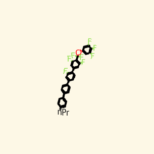 CCCc1ccc(-c2ccc(-c3ccc(-c4cc(F)c(C(F)(F)Oc5cc(F)c(F)c(F)c5)c(F)c4)c(F)c3)cc2)cc1